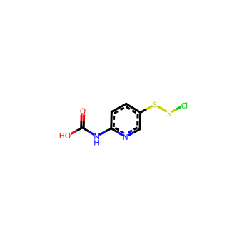 O=C(O)Nc1ccc(SSCl)cn1